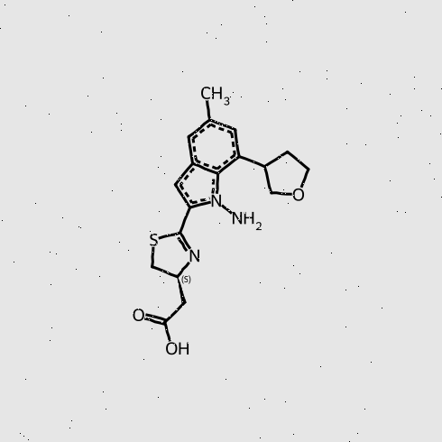 Cc1cc(C2CCOC2)c2c(c1)cc(C1=N[C@@H](CC(=O)O)CS1)n2N